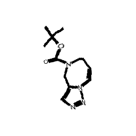 CC(C)(C)OC(=O)N1CC=Cn2nncc2C1